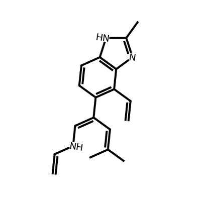 C=CN/C=C(\C=C(C)C)c1ccc2[nH]c(C)nc2c1C=C